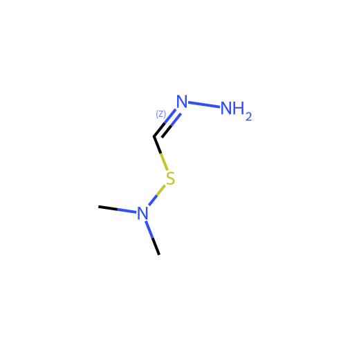 CN(C)S/C=N\N